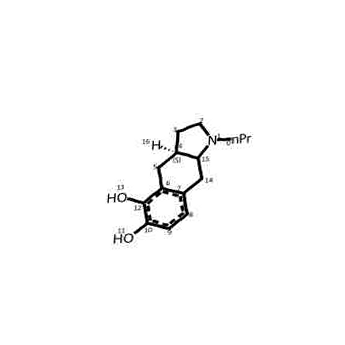 CCCN1CC[C@@H]2Cc3c(ccc(O)c3O)CC21